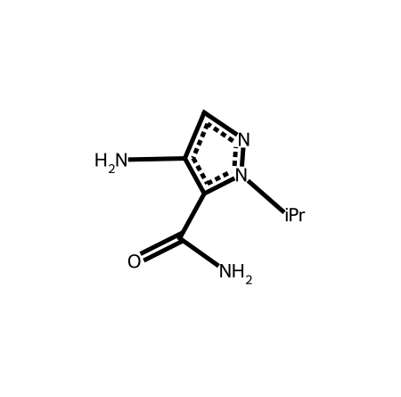 CC(C)n1ncc(N)c1C(N)=O